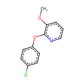 COc1cccnc1Oc1ccc(Cl)cc1